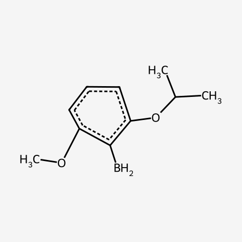 Bc1c(OC)cccc1OC(C)C